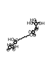 COc1ccc2c(c1)C(=O)NC(c1ccc(OCCCCCCCCCCOc3c(OC)cc(C4CC(c5cc(CO)c(CO)c(CO)c5)=NO4)cc3OC)c(CO)c1)N2